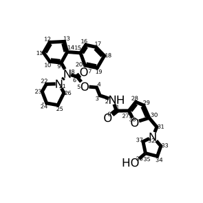 O=C(NCCOC(=O)N(c1ccccc1-c1ccccc1)N1CC[CH]CC1)c1ccc(CN2CCC(O)C2)o1